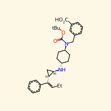 CCC=C(c1ccccc1)[C@@H]1C[C@H]1N[C@H]1CC[C@H](N(Cc2cccc(C(=O)O)c2)C(=O)OC(C)(C)C)CC1